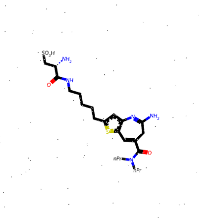 CCCN(CCC)C(=O)C1=Cc2sc(CCCCCNC(=O)[C@@H](N)CS(=O)(=O)O)cc2N=C(N)C1